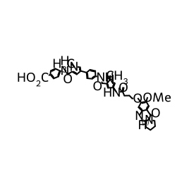 COc1cc2c(cc1OCCCC(=O)Nc1cc(C(=O)Nc3ccc(-c4cc(C(=O)Nc5ccc(C(=O)O)cc5)n(C)c4)cc3)n(C)c1)N=C[C@@H]1CCCCN1C2=O